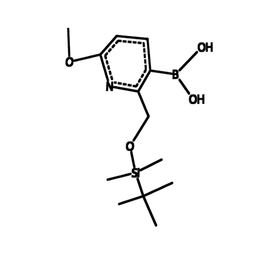 COc1ccc(B(O)O)c(CO[Si](C)(C)C(C)(C)C)n1